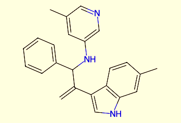 C=C(c1c[nH]c2cc(C)ccc12)C(Nc1cncc(C)c1)c1ccccc1